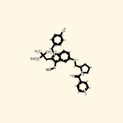 CCOC(=O)C(C)(C)Cc1c(SC(C)(C)C)c2cc(OCC3CCCN3C(=O)c3ccncc3)ccc2n1Cc1ccc(Cl)cc1